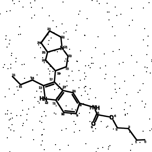 CCCCOC(=O)Nc1ccc2[nH]c(CCC)c(C3CCN4CCCC4C3)c2c1